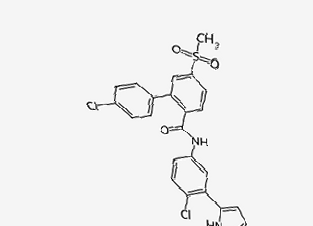 CS(=O)(=O)c1ccc(C(=O)Nc2ccc(Cl)c(-c3ccc[nH]3)c2)c(-c2ccc(Cl)cc2)c1